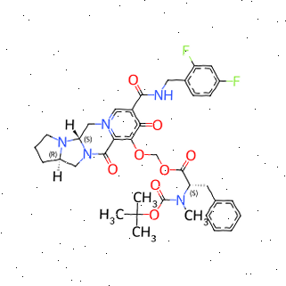 CN(C(=O)OC(C)(C)C)[C@@H](Cc1ccccc1)C(=O)OCOc1c2n(cc(C(=O)NCc3ccc(F)cc3F)c1=O)C[C@@H]1N(C[C@H]3CCCN31)C2=O